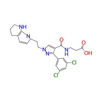 O=C(O)CCNC(=O)c1cn(CCc2ccc3c(n2)NCCC3)nc1-c1cc(Cl)cc(Cl)c1